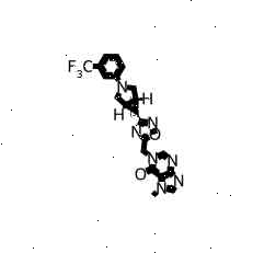 Cn1cnc2ncn(Cc3nc([C@@H]4[C@@H]5CN(c6cccc(C(F)(F)F)c6)C[C@@H]54)no3)c(=O)c21